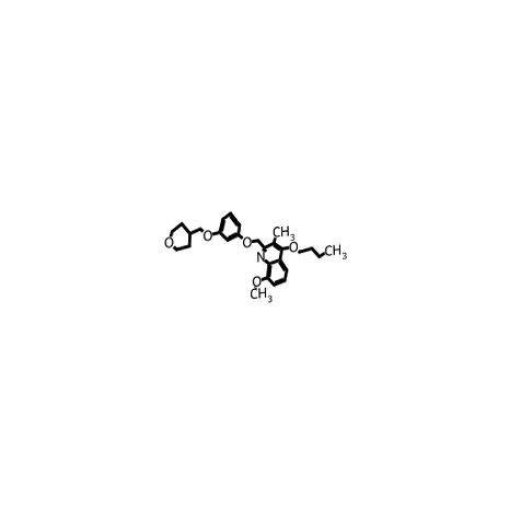 CCCCOc1c(C)c(COc2cccc(OCC3CCOCC3)c2)nc2c(OC)cccc12